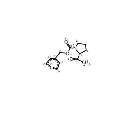 CC(=O)[C@@H]1CCCN1C(=O)OCc1ccccc1